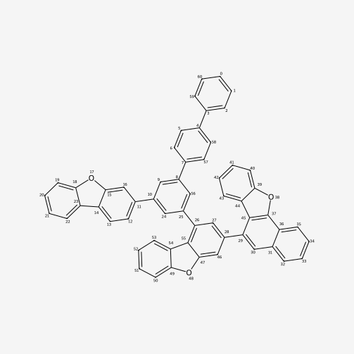 c1ccc(-c2ccc(-c3cc(-c4ccc5c(c4)oc4ccccc45)cc(-c4cc(-c5cc6ccccc6c6oc7ccccc7c56)cc5oc6ccccc6c45)c3)cc2)cc1